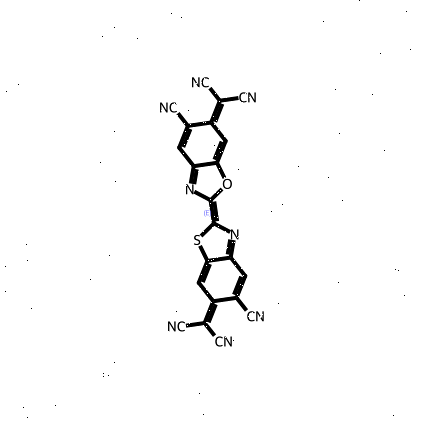 N#CC(C#N)=c1cc2o/c(=c3\nc4cc(C#N)c(=C(C#N)C#N)cc4s3)nc2cc1C#N